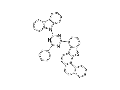 c1ccc(-c2nc(-c3cccc4sc5c(ccc6ccc7ccccc7c65)c34)nc(-n3c4ccccc4c4ccccc43)n2)cc1